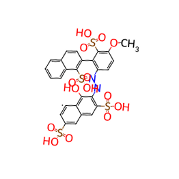 COc1ccc(N=Nc2c(S(=O)(=O)O)cc3cc(S(=O)(=O)O)c[c]c3c2O)c(-c2ccc3ccccc3c2S(=O)(=O)O)c1S(=O)(=O)O